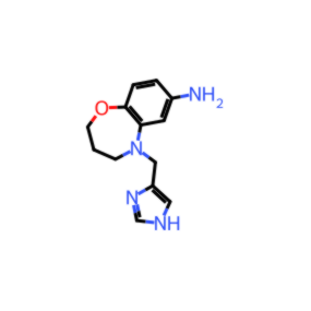 Nc1ccc2c(c1)N(Cc1c[nH]cn1)CCCO2